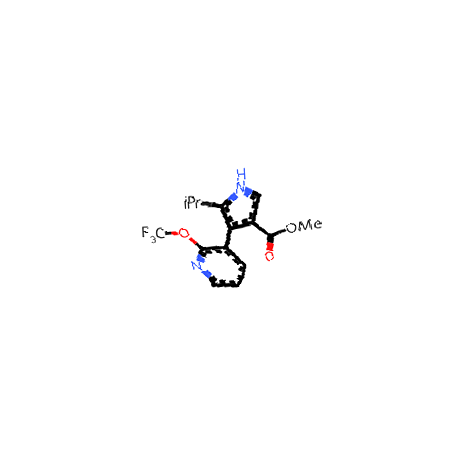 COC(=O)c1c[nH]c(C(C)C)c1-c1cccnc1OC(F)(F)F